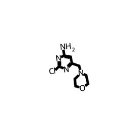 Nc1cc(CN2CCOCC2)nc(Cl)n1